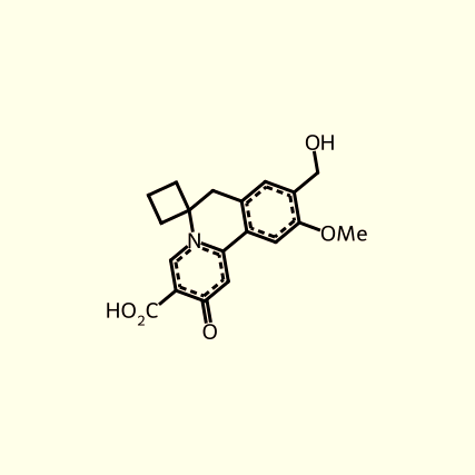 COc1cc2c(cc1CO)CC1(CCC1)n1cc(C(=O)O)c(=O)cc1-2